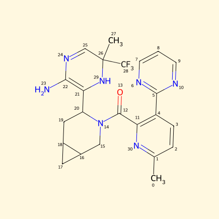 Cc1ccc(-c2ncccn2)c(C(=O)N2CC3CC3CC2C2=C(N)N=CC(C)(C(F)(F)F)N2)n1